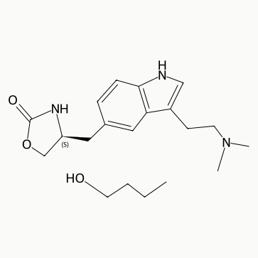 CCCCO.CN(C)CCc1c[nH]c2ccc(C[C@H]3COC(=O)N3)cc12